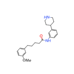 COc1cccc(CCCCC(=O)Nc2cccc(C3CCNCC3)c2)c1